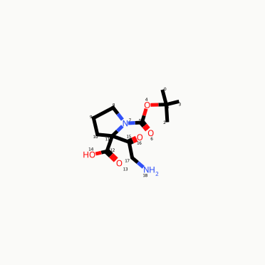 CC(C)(C)OC(=O)N1CCCC1(C(=O)O)C(=O)CN